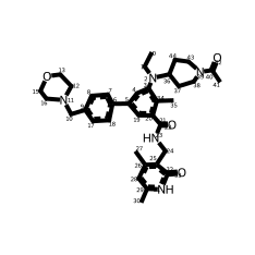 CCN(c1cc(-c2ccc(CN3CCOCC3)cc2)cc(C(=O)NCc2c(C)cc(C)[nH]c2=O)c1C)C1CCN(C(C)=O)CC1